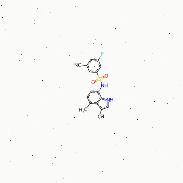 Cc1ccc(NS(=O)(=O)c2cc(F)cc(C#N)c2)c2[nH]cc(C#N)c12